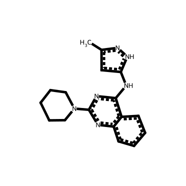 Cc1cc(Nc2nc(N3CCCCC3)nc3ccccc23)[nH]n1